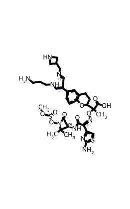 COS(=O)ON1C(=O)[C@@H](NC(=O)/C(=N\OC(C)(C(=O)O)C2CCc3cc(C(=C/NCCCN)/C=N/CC4CNC4)ccc3O2)c2csc(N)n2)C1(C)C